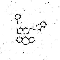 O=C1c2c(OCc3ccccc3)c(=O)ccn2N(C2c3ccccc3CCc3ccccc32)CN1CCN1C(=O)c2ccccc2C1=O